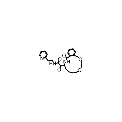 O=C(NCCc1ccccn1)C(=O)C1CCCCOCCOCc2ccccc2C(=O)N1